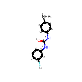 CC(=O)Nc1ccc(NC(=O)Nc2cccc(F)c2)cc1